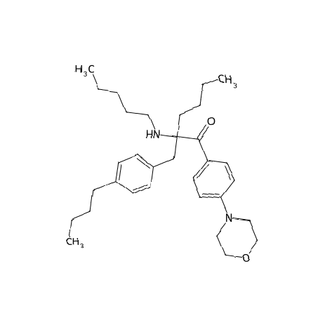 CCCCCNC(CCCC)(Cc1ccc(CCCC)cc1)C(=O)c1ccc(N2CCOCC2)cc1